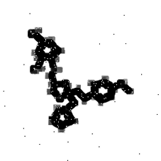 COc1ccc(CCC2(Cn3ccnc3)OCC(CSc3ccc(Cl)cc3Cl)O2)cc1